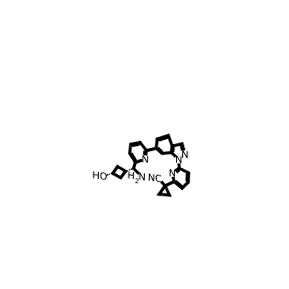 N#CC1(c2cccc(-n3ncc4ccc(-c5cccc(C(N)[C@H]6C[C@@H](O)C6)n5)cc43)n2)CC1